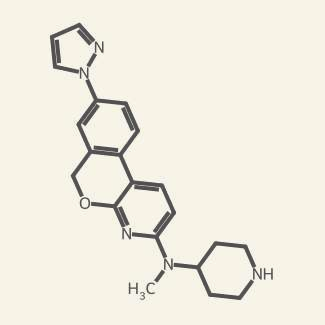 CN(c1ccc2c(n1)OCc1cc(-n3cccn3)ccc1-2)C1CCNCC1